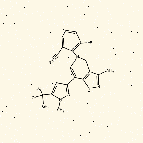 Cn1nc(C2=CN(c3c(F)cccc3C#N)Cc3c(N)n[nH]c32)cc1C(C)(C)O